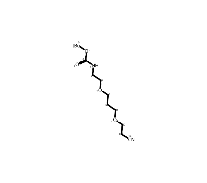 CC(C)(C)OC(=O)NCCOCCCOCCC#N